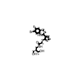 C[C@@H](O)[C@@H](CO)CNC(=O)CSc1nonc1/C(=N/O)Nc1ccc(F)c(Br)c1